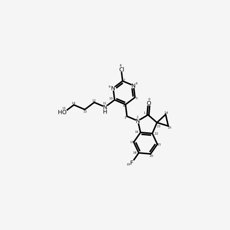 O=C1N(Cc2cnc(Cl)nc2NCCCO)c2cc(F)ccc2C12CC2